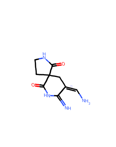 N=C1NC(=O)C2(CCNC2=O)C/C1=C/N